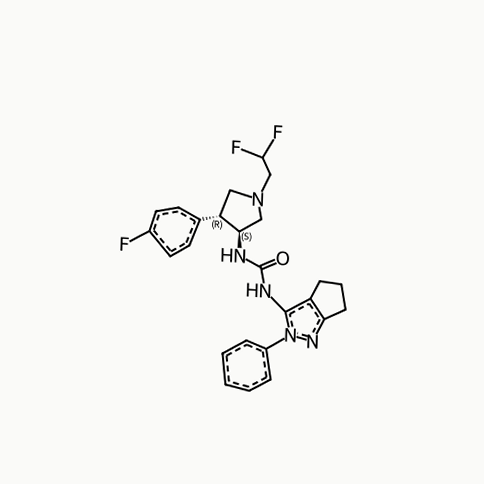 O=C(Nc1c2c(nn1-c1ccccc1)CCC2)N[C@@H]1CN(CC(F)F)C[C@H]1c1ccc(F)cc1